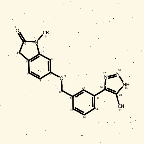 CN1C(=O)Cc2ccc(OCc3cccc(-c4nn[nH]c4C#N)c3)cc21